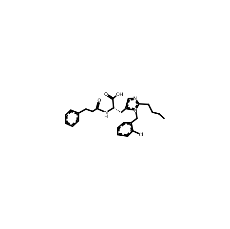 CCCCc1ncc(C[C@H](NC(=O)CCc2ccccc2)C(=O)O)n1Cc1ccccc1Cl